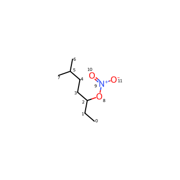 CCC(CCC(C)C)O[N+](=O)[O-]